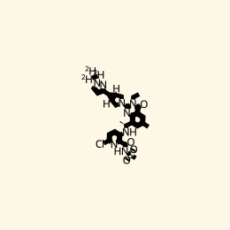 [2H]C([2H])([2H])n1ccc(C2[C@H]3CN(c4nc5c([C@@H](C)Nc6ccc(Cl)nc6C(=O)NS(C)(=O)=O)cc(C)cc5c(=O)n4CC)C[C@@H]23)n1